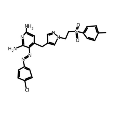 Cc1ccc(S(=O)(=O)CCn2cc(Cc3cc(N)nc(N)c3N=Nc3ccc(Cl)cc3)cn2)cc1